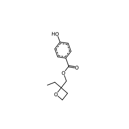 CCC1(COC(=O)c2ccc(O)cc2)CCO1